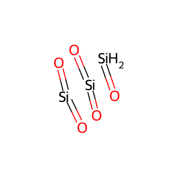 O=[SiH2].O=[Si]=O.O=[Si]=O